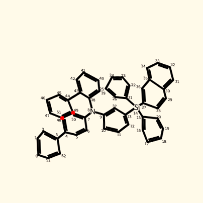 c1ccc(-c2ccc(N(c3cccc([Si](c4ccccc4)(c4ccccc4)c4ccc5ccccc5c4)c3)c3ccccc3-c3ccccc3)cc2)cc1